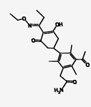 CCON=C(CC)C1=C(O)CC(c2c(C)c(CC(N)=O)c(C)c(C(C)=O)c2C)CC1=O